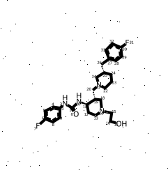 O=C(Nc1ccc(F)cc1)N[C@@H]1CCN(CCO)C[C@H]1CN1CCC[C@@H](Cc2ccc(F)cc2)C1